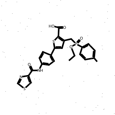 CCOP(=O)(Cc1cc(-c2ccc(NC(=O)c3cscn3)cc2)sc1C(=O)O)c1ccc(C)cc1